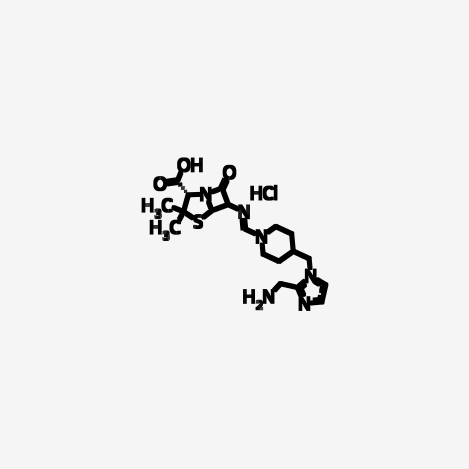 CC1(C)SC2C(N=CN3CCC(Cn4ccnc4CN)CC3)C(=O)N2[C@H]1C(=O)O.Cl